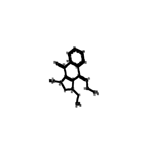 CCN1CN(C)C2=C1C(=NOC)c1ccccc1C2=O